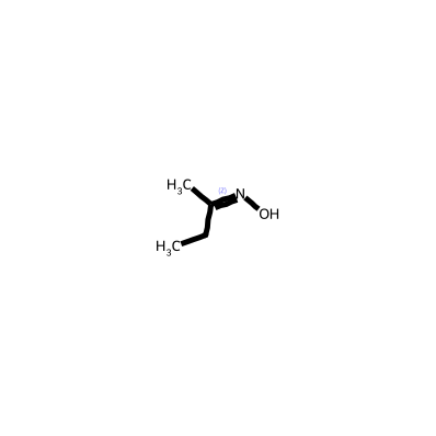 CC/C(C)=N\O